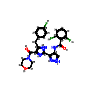 O=C(Nc1c[nH]nc1-c1nc(C(=O)N2CCOCC2)c(Cc2ccc(F)cc2)[nH]1)c1c(F)cccc1F